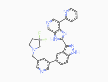 FC1(F)CCN(Cc2cncc(-c3ccc4[nH]nc(-c5nc6c(-c7ccccn7)cncc6[nH]5)c4c3)c2)C1